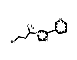 CC(CC[NH])n1cnc(-c2cccnc2)c1